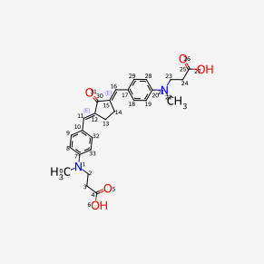 CN(CCC(=O)O)c1ccc(/C=C2\CC/C(=C\c3ccc(N(C)CCC(=O)O)cc3)C2=O)cc1